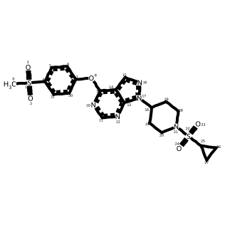 CS(=O)(=O)c1ccc(Oc2ncnc3c2cnn3C2CCN(S(=O)(=O)C3CC3)CC2)cc1